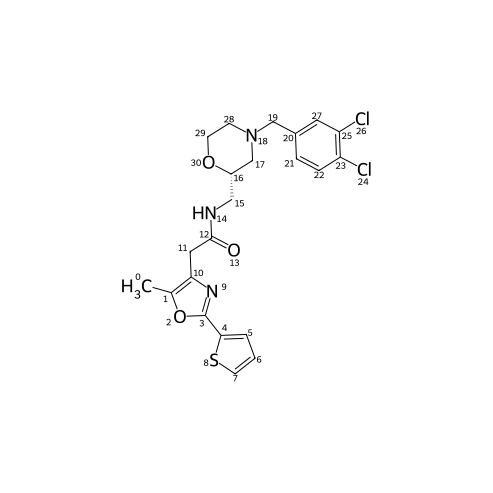 Cc1oc(-c2cccs2)nc1CC(=O)NC[C@H]1CN(Cc2ccc(Cl)c(Cl)c2)CCO1